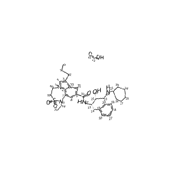 CCCc1cn2c3c(cc(C(=O)N[C@@H](Cc4ccccc4)[C@H](O)CNC4CCCCC4)cc13)N(CC)S(=O)(=O)CC2.O=CO